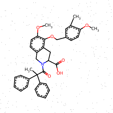 COc1ccc(COc2c(OC)ccc3c2CC(C(=O)O)N(C(=O)C(C)(c2ccccc2)c2ccccc2)C3)cc1C